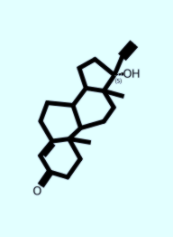 C#C[C@]1(O)CCC2C3CCC4=CC(=O)CCC4(C)C3CCC21C